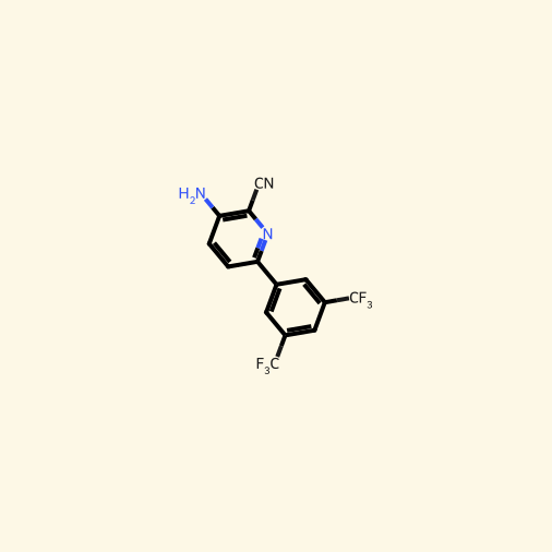 N#Cc1nc(-c2cc(C(F)(F)F)cc(C(F)(F)F)c2)ccc1N